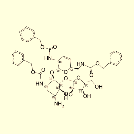 N[C@@H]1C[C@H](NC(=O)OCc2ccccc2)[C@@H](O[C@H]2O[C@H](CNC(=O)OCc3ccccc3)C=C[C@H]2NC(=O)OCc2ccccc2)[C@H](O[C@@H]2O[C@H](CO)[C@@H](O)[C@H]2O)[C@H]1O